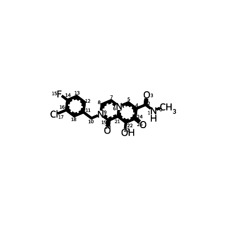 CNC(=O)c1cn2ccn(Cc3ccc(F)c(Cl)c3)c(=O)c2c(O)c1=O